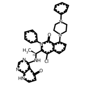 C[C@H](Nc1ncnc2[nH]ccc(=O)c12)c1c(Cl)c2cccc(N3CCN(c4ccccc4)CC3)c2c(=O)n1-c1ccccc1